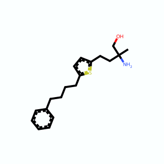 CC(N)(CO)CCc1ccc(CCCCc2ccccc2)s1